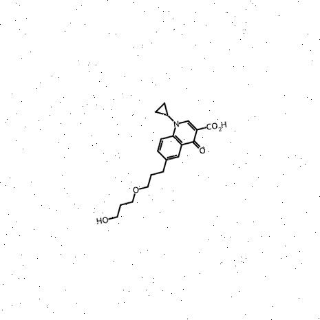 O=C(O)c1cn(C2CC2)c2ccc(CCCOCCCO)cc2c1=O